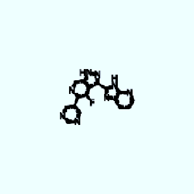 Fc1c(-c2cncnc2)ncc2[nH]nc(-c3nc4cccnc4[nH]3)c12